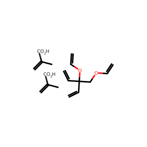 C=C(C)C(=O)O.C=C(C)C(=O)O.C=COCC(C=C)(C=C)OC=C